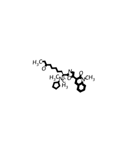 CCC(=O)CCCCC[C@@H](c1ncc(-c2cc3ccccc3n(C)c2=O)o1)[N+](C)(C)C1CCCC1